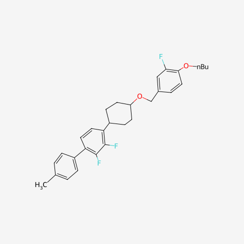 CCCCOc1ccc(COC2CCC(c3ccc(-c4ccc(C)cc4)c(F)c3F)CC2)cc1F